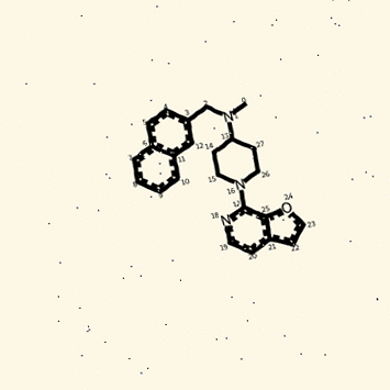 CN(Cc1ccc2ccccc2c1)C1CCN(c2nccc3ccoc23)CC1